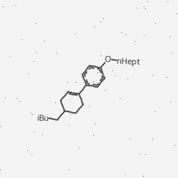 CCCCCCCOc1ccc(C2=CCC(CC(C)CC)CC2)cc1